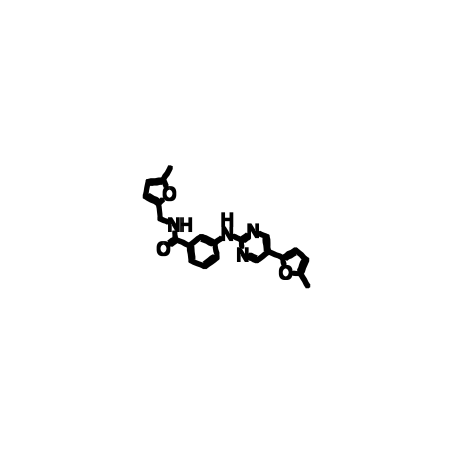 Cc1ccc(CNC(=O)c2cccc(Nc3ncc(-c4ccc(C)o4)cn3)c2)o1